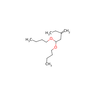 C=C(CC)CC(OCCCC)OCCCC